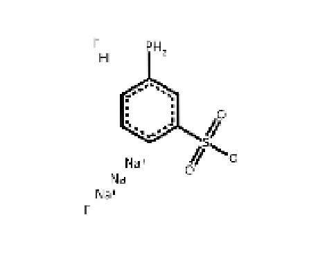 I.O=S(=O)([O-])c1cccc(P)c1.[I-].[I-].[Na+].[Na+].[Na+]